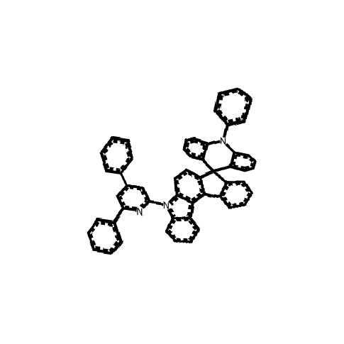 c1ccc(-c2cc(-c3ccccc3)nc(-n3c4ccccc4c4c5c(ccc43)C3(c4ccccc4-5)c4ccccc4N(c4ccccc4)c4ccccc43)c2)cc1